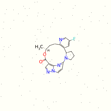 C[C@@H]1CCc2ncc(F)cc2C2CCCN2c2ccn3ncc(c3n2)C(=O)O1